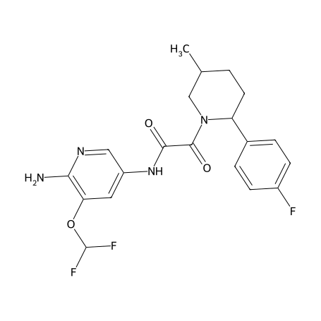 CC1CCC(c2ccc(F)cc2)N(C(=O)C(=O)Nc2cnc(N)c(OC(F)F)c2)C1